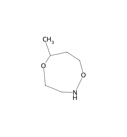 CC1CCONCCO1